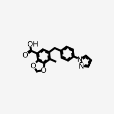 Cc1c(Cc2ccc(-n3cccn3)cc2)cc(C(=O)O)c2c1OCO2